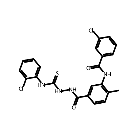 Cc1ccc(C(=O)NNC(=S)Nc2ccccc2Cl)cc1NC(=O)c1cccc(Cl)c1